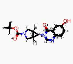 CC(C)(C)OC(=O)N1C[C@@H]2[C@H](C1)[C@H]2n1cnc2ccc(O)cc2c1=O